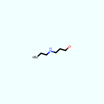 CCCCCCNCCC[O]